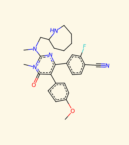 COc1ccc(-c2c(-c3ccc(C#N)c(F)c3)nc(N(C)CC3CCCCCN3)n(C)c2=O)cc1